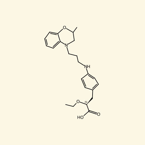 CCO[C@@H](Cc1ccc(NCCCN2CC(C)Oc3ccccc32)cc1)C(=O)O